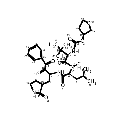 CC(C)C[C@@H](C(=O)NC(CC1CCNC1=O)C(=O)C(=O)c1ccccc1)N(C)C(=O)[C@@H](NC(=O)OC1CCOC1)C(C)(C)C